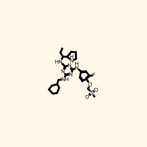 CCC(Nc1nc(NCC2CCCCC2)nc(Nc2ccc(OCS(C)(=O)=O)c(F)c2)n1)C1CCCN1